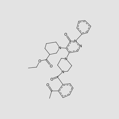 CCOC(=O)C1CCCN(c2c(N3CCN(C(=O)c4ccccc4C(C)=O)CC3)cnn(-c3ccccc3)c2=O)C1